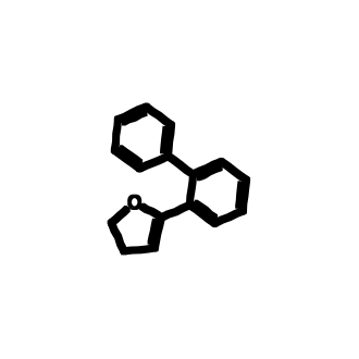 C1=C(c2ccccc2-c2ccccc2)OCC1